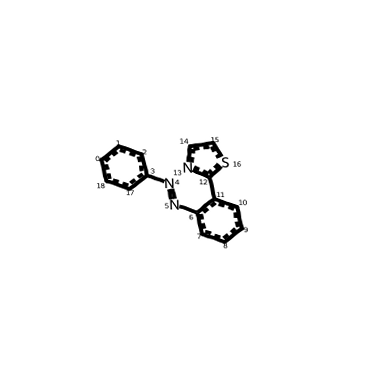 c1ccc(N=Nc2ccccc2-c2nccs2)cc1